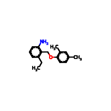 CCc1cccc(N)c1COc1ccc(C)cc1C